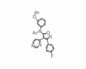 CC(=O)N(c1cccc(OC(C)C)c1)c1onc(-c2ccc(F)cc2)c1-c1ccncn1